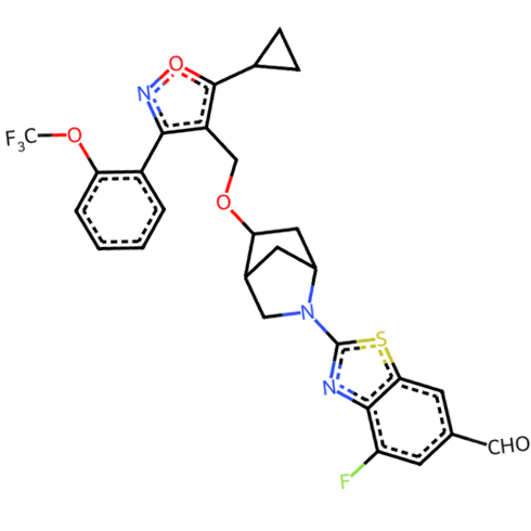 O=Cc1cc(F)c2nc(N3CC4CC3CC4OCc3c(-c4ccccc4OC(F)(F)F)noc3C3CC3)sc2c1